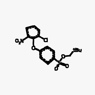 CC(C)(C)COS(=O)(=O)c1ccc(Oc2c(Cl)cccc2[N+](=O)[O-])cc1